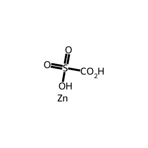 O=C(O)S(=O)(=O)O.[Zn]